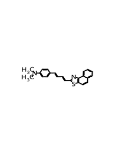 CN(C)c1ccc(C=CC=Cc2nc3c(ccc4ccccc43)s2)cc1